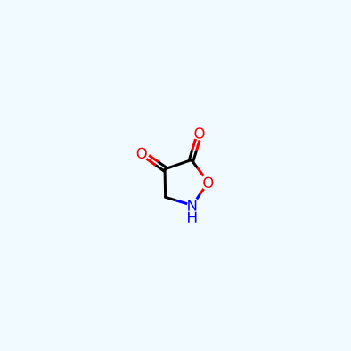 O=C1CNOC1=O